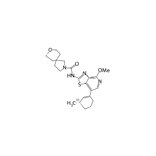 COc1ncc(C2=C[C@@H](C)CCC2)c2sc(NC(=O)N3CCC4(CCOCC4)C3)nc12